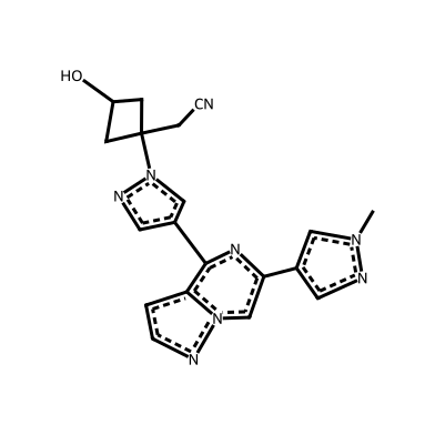 Cn1cc(-c2cn3nccc3c(-c3cnn(C4(CC#N)CC(O)C4)c3)n2)cn1